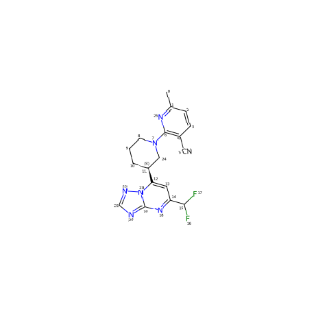 Cc1ccc(C#N)c(N2CCC[C@H](c3cc(C(F)F)nc4ncnn34)C2)n1